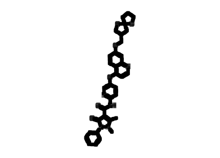 Cc1c(C(=O)Nc2ccc(Oc3ccnc4cc(OCC5COC6(CCCO6)C5)ccc34)cn2)c(=O)n(-c2ccccc2)n1C